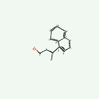 CC(CC[O])c1cccc2ccccc12